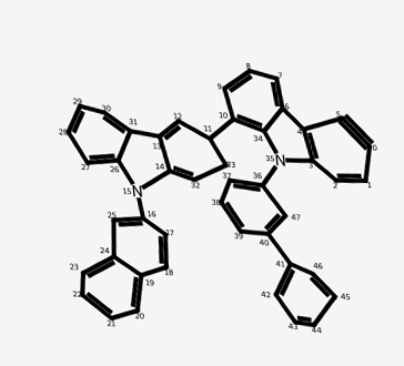 c1ccc2c(c#1)c1cccc(C3C=c4c(n(-c5ccc6ccccc6c5)c5ccccc45)=CC3)c1n2-c1cccc(-c2ccccc2)c1